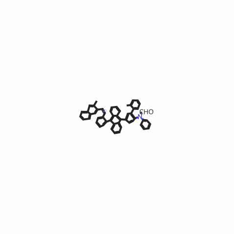 Cc1cc2ccccc2cc1/C=C\c1ccccc1-c1c2ccccc2c(-c2ccc(N(C=O)c3ccccc3)c(-c3ccccc3C)c2)c2ccccc12